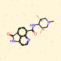 C[C@@H]1CN(C)C[C@H](C)C1NC(=O)c1ccc2c3c(ccnc13)NC2=O